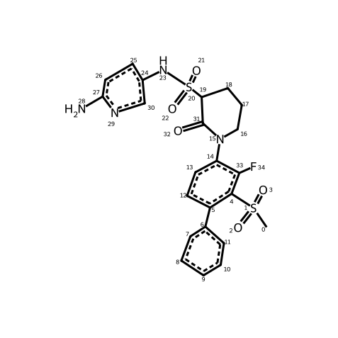 CS(=O)(=O)c1c(-c2ccccc2)ccc(N2CCCC(S(=O)(=O)Nc3ccc(N)nc3)C2=O)c1F